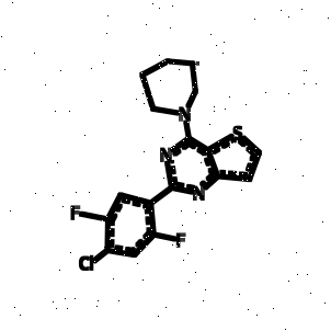 Fc1cc(-c2nc(N3C[CH]CCC3)c3sccc3n2)c(F)cc1Cl